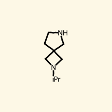 CC(C)N1CC2(CCNC2)C1